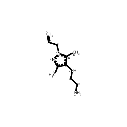 C=CCn1nc(C)c(NCCN)c1C